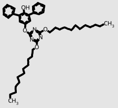 CCCCCCCCCCCCOc1nc(OCCCCCCCCCCCC)nc(Oc2cc(-c3ccccc3)c(O)c(-c3ccccc3)c2)n1